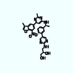 Cc1nc(N[C@@H](C)c2cccc(-c3cnc(NCC(O)CO)nc3)c2)cc(-c2cc([N+](=O)[O-])c3occ(C)c3c2)n1